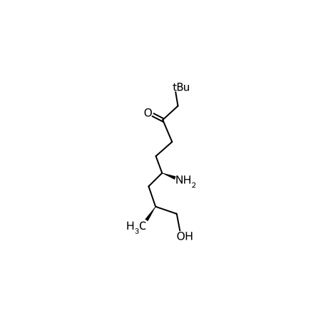 C[C@H](CO)C[C@H](N)CCC(=O)CC(C)(C)C